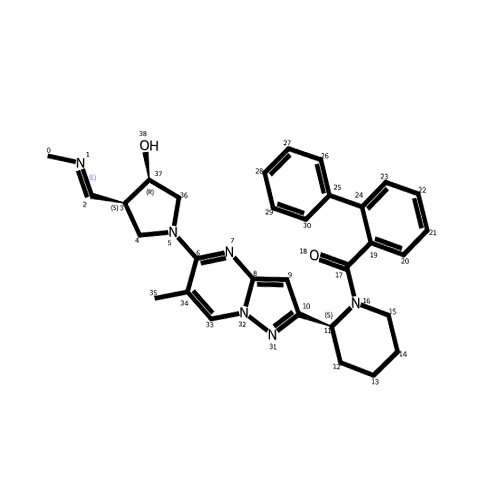 C/N=C/[C@@H]1CN(c2nc3cc([C@@H]4CCCCN4C(=O)c4ccccc4-c4ccccc4)nn3cc2C)C[C@@H]1O